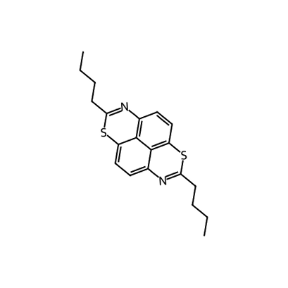 CCCCC1=Nc2ccc3c4c(ccc(c24)S1)N=C(CCCC)S3